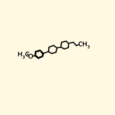 CCCC1CCC(C2CCC(c3ccc(OC)cc3)CC2)CC1